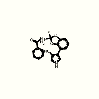 N#Cc1c[nH]cc1-c1cccc2c1OC(F)(F)O2.NC(=O)c1ccccc1